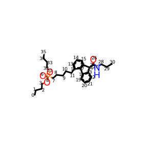 CCCCOP(=O)(CCCCCc1cccc2c1-c1ccccc1C2C(=O)NCCC)OCCCC